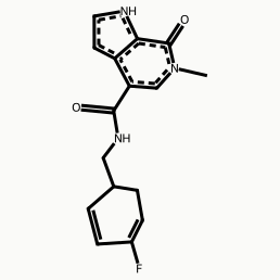 Cn1cc(C(=O)NCC2C=CC(F)=CC2)c2cc[nH]c2c1=O